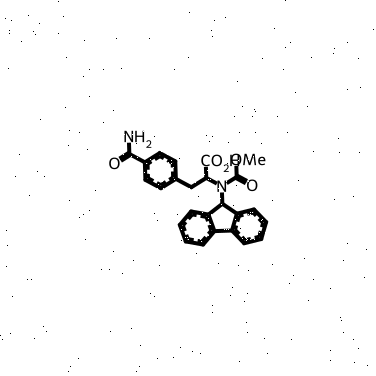 COC(=O)N(C(Cc1ccc(C(N)=O)cc1)C(=O)O)C1c2ccccc2-c2ccccc21